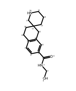 O=C(NCO)c1ccc2c(c1)CC1(CCCNC1)CC2